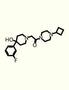 O=C(CN1CCC(O)(c2cccc(F)c2)CC1)N1CCN(C2CCC2)CC1